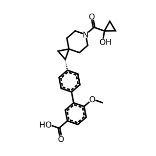 COc1ccc(C(=O)O)cc1-c1ccc([C@@H]2CC23CCN(C(=O)C2(O)CC2)CC3)cc1